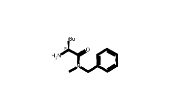 CCC(C)[C@H](N)C(=O)N(C)Cc1ccccc1